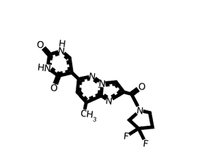 Cc1cc(-c2c[nH]c(=O)[nH]c2=O)nn2cc(C(=O)N3CCC(F)(F)C3)nc12